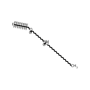 CCCCCCCCCCCCCCCCCCCCCCOC(=O)NCCCCCCCCCCC(=O)OCCC(F)(F)C(F)(F)C(F)(F)C(F)(F)C(F)(F)C(F)(F)C(F)(F)C(F)(F)F